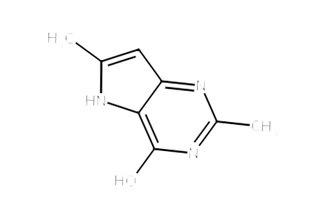 Cc1nc(O)c2[nH]c(C)cc2n1